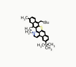 Cc1ccc2c(CC(C)(C)C)c3c(c(C)c2c1)-c1c2c(cc4ccc([Si](C)(C)C)cc4c2cc[n+]1C)S3